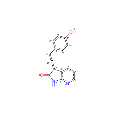 O=C1Nc2ncccc2C1=C=Cc1ccc(O)cc1